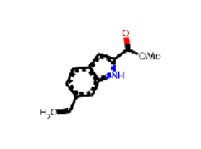 C=Cc1ccc2cc(C(=O)OC)[nH]c2c1